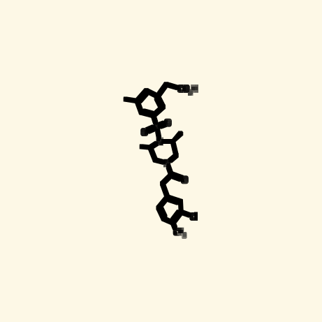 Cc1cc(CC(=O)O)cc(S(=O)(=O)N2C(C)CN(C(=O)Cc3ccc(C(F)(F)F)c(Cl)c3)C[C@@H]2C)c1